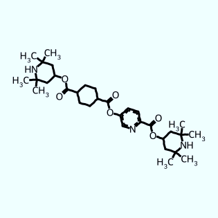 CC1(C)CC(OC(=O)c2ccc(OC(=O)C3CCC(C(=O)OC4CC(C)(C)NC(C)(C)C4)CC3)cn2)CC(C)(C)N1